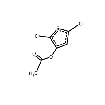 CC(=O)Oc1cc(Cl)sc1Cl